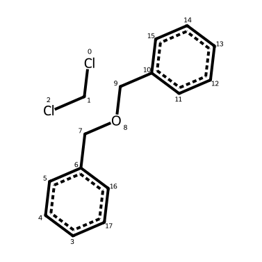 ClCCl.c1ccc(COCc2ccccc2)cc1